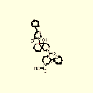 O=C(O)N1CCN(C(=O)N2CCC(O)(Cn3cnc(-c4ccccc4)cc3=O)C3(CCCCC3)C2)[C@H](c2ccccc2)C1